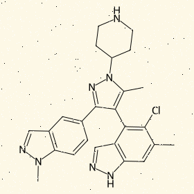 Cc1cc2[nH]ncc2c(-c2c(-c3ccc4c(cnn4C)c3)nn(C3CCNCC3)c2C)c1Cl